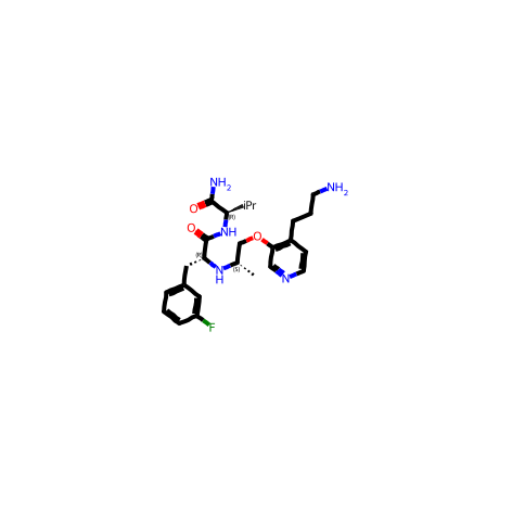 CC(C)[C@@H](NC(=O)[C@@H](Cc1cccc(F)c1)N[C@@H](C)COc1cnccc1CCCN)C(N)=O